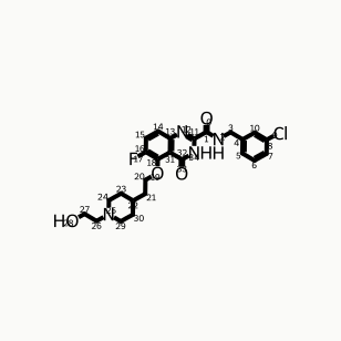 O=C(NCc1cccc(Cl)c1)c1nc2ccc(F)c(OCCC3CCN(CCO)CC3)c2c(=O)[nH]1